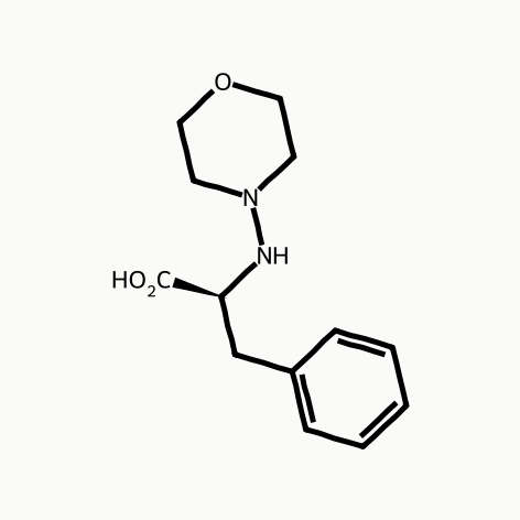 O=C(O)[C@H](Cc1ccccc1)NN1CCOCC1